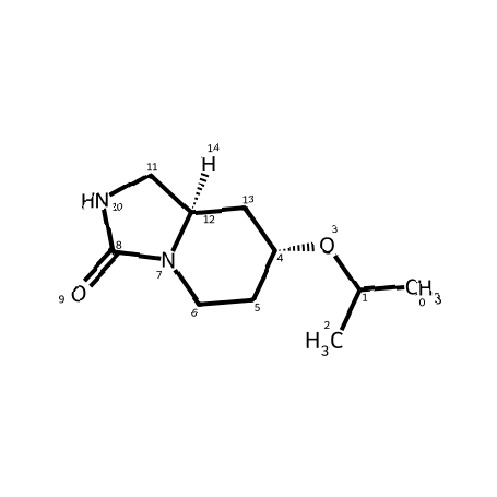 CC(C)O[C@@H]1CCN2C(=O)NC[C@H]2C1